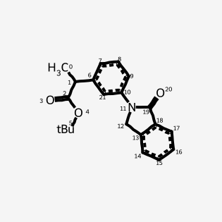 CC(C(=O)OC(C)(C)C)c1cccc(N2Cc3ccccc3C2=O)c1